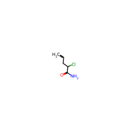 C=CCC(Cl)C(N)=O